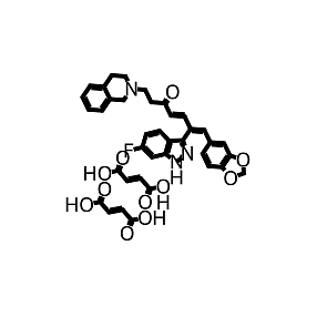 O=C(C=CC(=Cc1ccc2c(c1)OCO2)c1n[nH]c2cc(F)ccc12)CCN1CCc2ccccc2C1.O=C(O)C=CC(=O)O.O=C(O)C=CC(=O)O